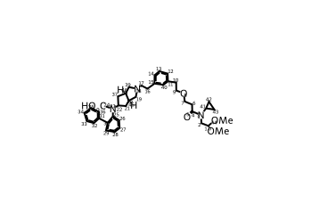 COC(CN(C(=O)CCOCCc1cccc(CCN2C[C@H]3CC(N(C(=O)O)c4ccccc4-c4ccccc4)C[C@H]3C2)c1)C1CC1)OC